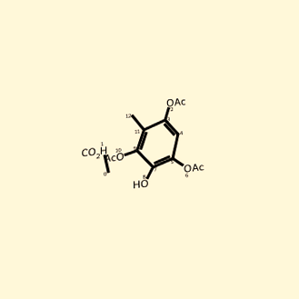 CC(=O)O.CC(=O)Oc1cc(OC(C)=O)c(O)c(OC(C)=O)c1C